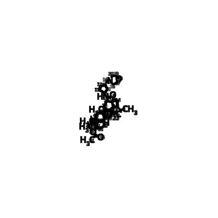 C=C(C)[C@@H]1CC[C@]2(C(=O)N[C@@H]3C=C[C@H](CN4CCOCC4)C3)CC[C@]3(C)[C@H](CC[C@@H]4[C@@]5(C)CC[C@H](OC(C)=O)C(C)(C)[C@@H]5CC[C@]43C)[C@@H]12